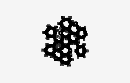 c1ccc(-n2c3cccc4oc5cccc6oc7c8c9c(oc%10cccc%11oc%12cccc(c%12p9c%11%10)n8-c8ccccc8)c2c7p(c56)c43)cc1